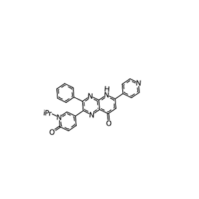 CC(C)n1cc(-c2nc3c(=O)cc(-c4ccncc4)[nH]c3nc2-c2ccccc2)ccc1=O